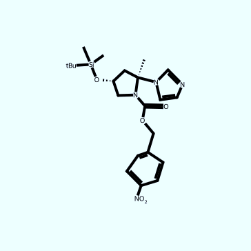 CC(C)(C)[Si](C)(C)O[C@H]1CN(C(=O)OCc2ccc([N+](=O)[O-])cc2)[C@](C)(n2ccnc2)C1